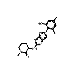 Cc1cc(C)c(-n2cc3sc(NC4CCCN(C)C4=O)nc3n2)c(O)c1